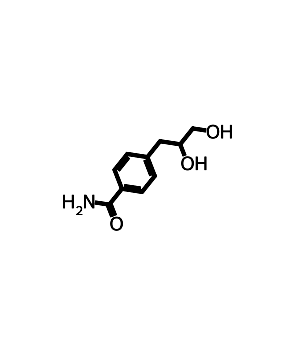 NC(=O)c1ccc(CC(O)CO)cc1